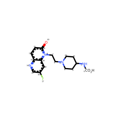 O=C(O)NC1CCN(CCn2c(=O)ccc3ncc(F)cc32)CC1